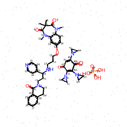 CN1C(=O)C(C)(C)C(=O)N(C)c2cc(OCCCNC(CCN3CCc4ccccc4C3=O)c3ccncc3)ccc21.O=C1C=C(N2CC2)C(=O)C(N2CC2)=C1N1CC1.O=P(O)(O)O